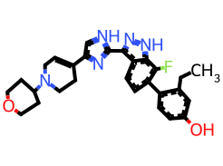 CCc1cc(O)ccc1-c1ccc2c(-c3nc(C4=CCN(C5CCOCC5)CC4)c[nH]3)n[nH]c2c1F